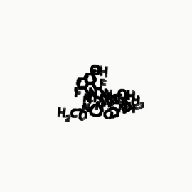 C#Cc1c(F)ccc2cc(O)cc(-c3ncc4c(N5CCCCC(NC(=O)C=C)C5)nc(OC[C@]5(C(C)(C)O)C[C@@H](F)CN5C5CCOCC5)nc4c3F)c12